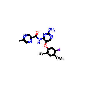 COc1cc(C(C)C)c(Oc2cnc(N)nc2NC(=O)c2cnc(C)cn2)cc1I